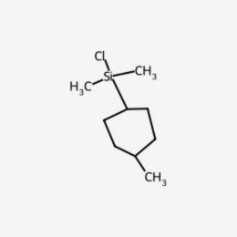 CC1CCC([Si](C)(C)Cl)CC1